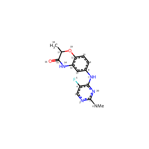 CNc1ncc(F)c(Nc2ccc3c(c2)NC(=O)C(C)O3)n1